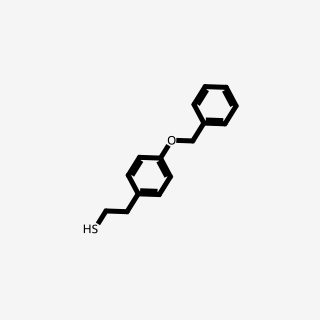 SCCc1ccc(OCc2ccccc2)cc1